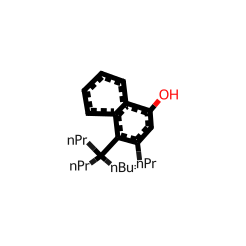 CCC[C]C(CCC)(CCC)c1c(CCC)cc(O)c2ccccc12